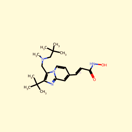 CN(Cc1c(C(C)(C)C)nc2cc(/C=C/C(=O)NO)ccn12)CC(C)(C)C